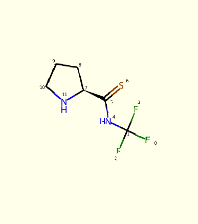 FC(F)(F)NC(=S)[C@@H]1CCCN1